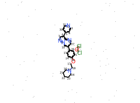 ClOCl.c1cc(-c2cnn3cc(-c4ccc(OCCN5CCCCC5)cc4)cnc23)ccn1